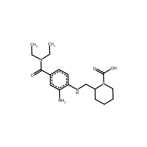 CCN(CC)C(=O)c1ccc(NCC2CCCCN2C(=O)O)c(N)c1